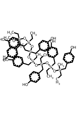 CC[Si](C)(Cc1ccc(O)cc1)O[Si](CC)(Cc1ccc(O)cc1)O[Si](CC)(Cc1ccc(O)cc1)O[Si](CC)(Cc1ccc(O)cc1)O[Si](CC)(Cc1ccc(O)cc1)O[Si](CC)(Cc1ccc(O)cc1)O[Si](CC)(Cc1ccc(O)cc1)OC